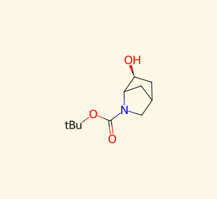 CC(C)(C)OC(=O)N1CC2CC1[C@@H](O)C2